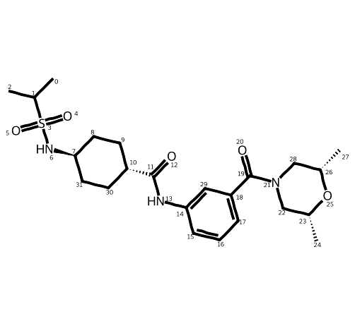 CC(C)S(=O)(=O)N[C@H]1CC[C@H](C(=O)Nc2cccc(C(=O)N3C[C@@H](C)O[C@@H](C)C3)c2)CC1